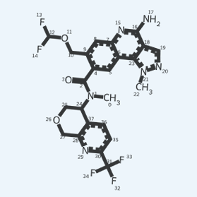 CN(C(=O)c1cc2c(cc1COC(F)F)nc(N)c1cnn(C)c12)C1COCc2nc(C(F)(F)F)ccc21